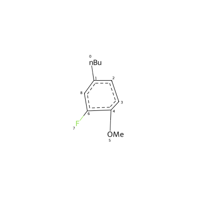 [CH2]CCCc1ccc(OC)c(F)c1